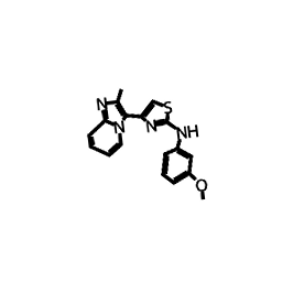 COc1cccc(Nc2nc(-c3c(C)nc4ccccn34)cs2)c1